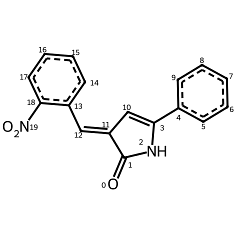 O=C1NC(c2ccccc2)=CC1=Cc1ccccc1[N+](=O)[O-]